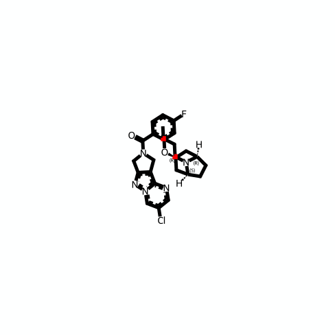 CCCCN1[C@@H]2CC[C@H]1C[C@@H](Oc1cc(F)ccc1C(=O)N1Cc3nn4cc(Cl)cnc4c3C1)C2